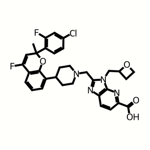 CC1(c2ccc(Cl)cc2F)C=C(F)c2cccc(C3CCN(Cc4nc5ccc(C(=O)O)nc5n4CC4CCO4)CC3)c2O1